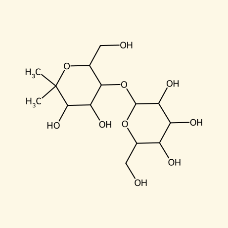 CC1(C)OC(CO)C(OC2OC(CO)C(O)C(O)C2O)C(O)C1O